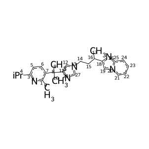 Cc1nc(C(C)C)ccc1C(C)(C)c1cn(CCC(C)c2cn3ccccc3n2)cn1